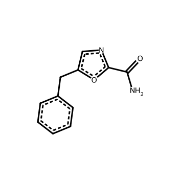 NC(=O)c1ncc(Cc2ccccc2)o1